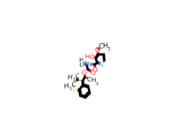 COc1ccnc(C(=O)N[C@@H](C)C(=O)O[C@@H](C)[C@H](c2ccccc2F)C(C)C)c1O